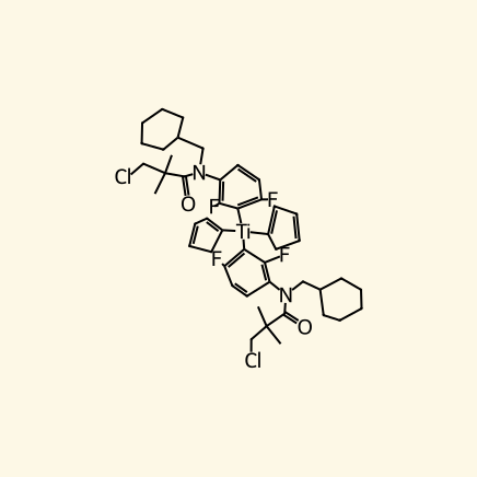 CC(C)(CCl)C(=O)N(CC1CCCCC1)c1ccc(F)[c]([Ti]([C]2=CC=CC2)([C]2=CC=CC2)[c]2c(F)ccc(N(CC3CCCCC3)C(=O)C(C)(C)CCl)c2F)c1F